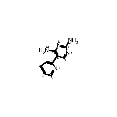 Nc1ncc(-c2ccccn2)c(N)n1